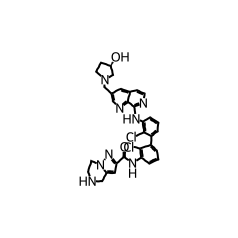 O=C(Nc1cccc(-c2cccc(Nc3nccc4cc(CN5CC[C@@H](O)C5)cnc34)c2Cl)c1Cl)c1cc2n(n1)CCNC2